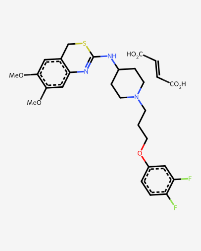 COc1cc2c(cc1OC)N=C(NC1CCN(CCCOc3ccc(F)c(F)c3)CC1)SC2.O=C(O)C=CC(=O)O